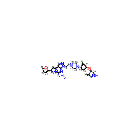 Nc1nc2c(cnn2CCN2CCN(c3ccc(O[C@H]4CNC[C@@H]4F)cc3F)CC2)c2cc(-c3ccco3)nn12